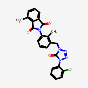 Cc1cccc2c1C(=O)N(c1cccc(Cn3nnn(-c4ccccc4Cl)c3=O)c1C)C2=O